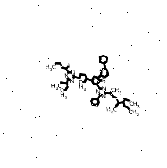 C=C=C(C/C=C(\C)c1nc(-c2ccccc2)nc(-c2cc(C(/C=C\Cc3nc(/C(I)=C/C=C\C)nc(C(/C=C\C)=C/C)n3)=C/C)cc3c2sc2ccc(C4=CCCC=C4)cc23)n1)C(/C=C\C)=C/C=C